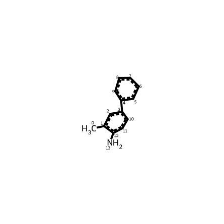 Cc1cc(-c2ccccc2)ccc1N